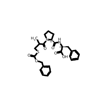 CC(CSC(=O)OCc1ccccc1)C(=O)N1CCC[C@H]1C(=O)N[C@@H](Cc1ccccc1)C(=O)O